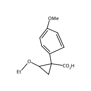 CCOC1CC1(C(=O)O)c1ccc(OC)cc1